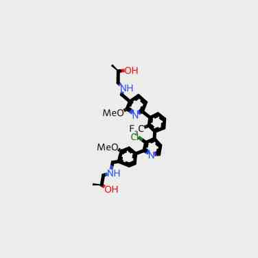 COc1cc(-c2nccc(-c3cccc(-c4ccc(CNC[C@@H](C)O)c(OC)n4)c3C(F)(F)F)c2Cl)ccc1CNC[C@H](C)O